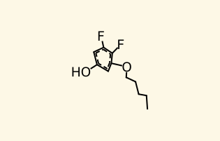 CCCCCOc1cc(O)cc(F)c1F